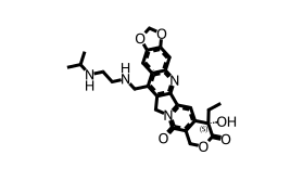 CC[C@@]1(O)C(=O)OCc2c1cc1n(c2=O)Cc2c-1nc1cc3c(cc1c2CNCCNC(C)C)OCO3